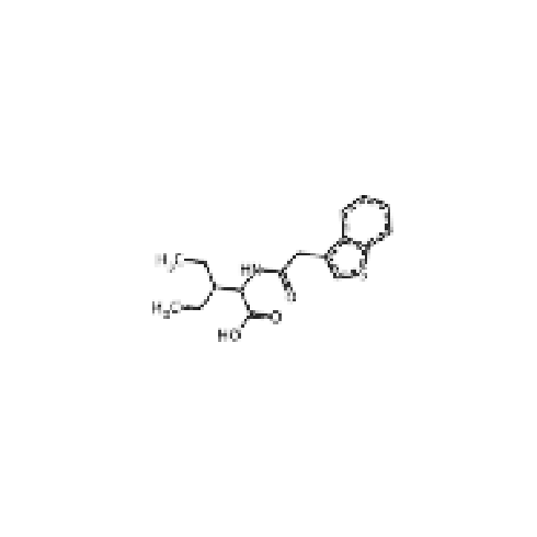 CCC(CC)C(NC(=O)Cc1csc2ccccc12)C(=O)O